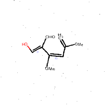 C=C(/C=C(OC)\C(C=O)=C\O)OC